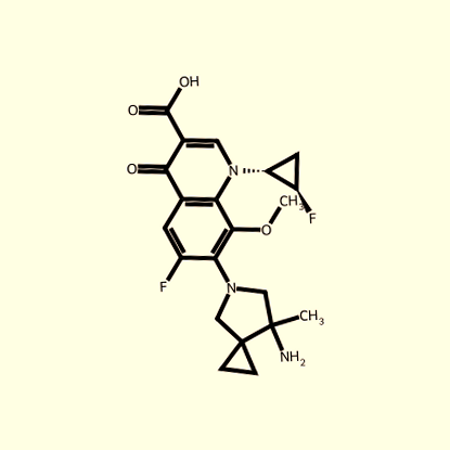 COc1c(N2CC(C)(N)C3(CC3)C2)c(F)cc2c(=O)c(C(=O)O)cn([C@@H]3C[C@H]3F)c12